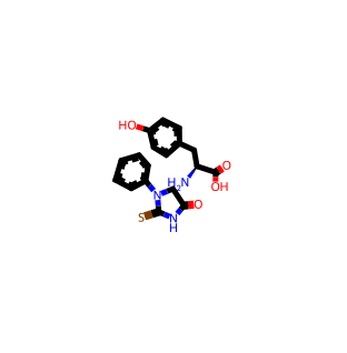 N[C@@H](Cc1ccc(O)cc1)C(=O)O.O=C1CN(c2ccccc2)C(=S)N1